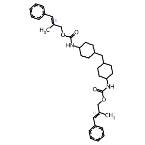 C/C(=C\c1ccccc1)COC(=O)NC1CCC(CC2CCC(NC(=O)OC/C(C)=C/c3ccccc3)CC2)CC1